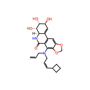 C=CCN(C/C=C\C1CCC1)c1c2c(cc3c1C(=O)N[C@@H]1C3=C[C@H](O)[C@@H](O)[C@H]1O)OCO2